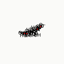 COc1ccc(/N=N/c2c(S(=O)(=O)O)cc3c(S(=O)(=O)O)c(/N=N/c4cc(S(=O)(=O)O)c5ccc(/N=N/c6ccc([N+](=O)[O-])cc6S(=O)(=O)O)c(O)c5c4N)ccc3c2O)cc1